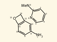 CNc1ccccn1.Nc1ccc2c(c1)CO2